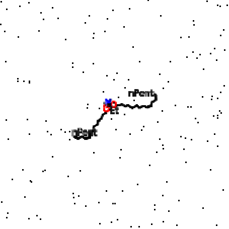 CCCCC/C=C\C/C=C\CCCCCCCCOC(CC)(OCCCCCCCC/C=C\C/C=C\CCCCC)N(C)C